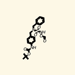 CC(C)(C)OC(=O)Nc1ccc(CN(Cc2ccccc2)S(=O)(=O)NOC=O)cc1